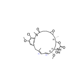 COc1cc2cc(c1Cl)N(C)C(=O)CCC1OC1[C@H](C)C1C[C@@](O)(NC(=O)O1)[C@H](OC)/C=C/C=C(\C)C2